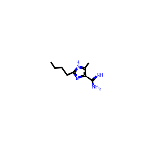 CCCCc1nc(C(=N)N)c(C)[nH]1